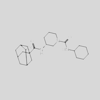 O=C(NC1CCCCC1)N1CCC[C@H](NC(=O)C23CC4CC(C2)C(O)C(C4)C3)C1